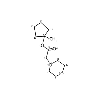 CC1(OC(=O)CN2CCOCC2)CCCC1